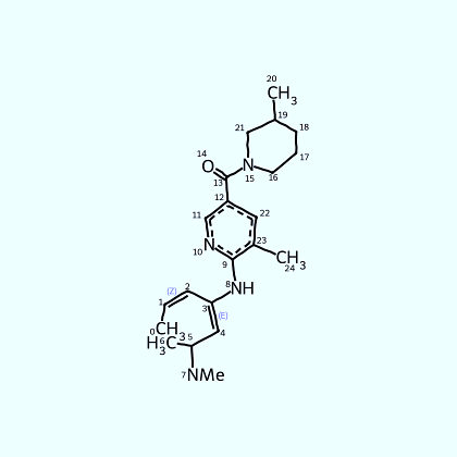 C/C=C\C(=C/C(C)NC)Nc1ncc(C(=O)N2CCCC(C)C2)cc1C